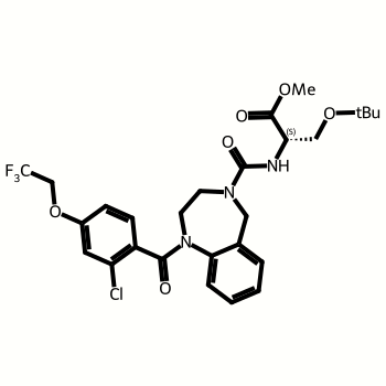 COC(=O)[C@H](COC(C)(C)C)NC(=O)N1CCN(C(=O)c2ccc(OCC(F)(F)F)cc2Cl)c2ccccc2C1